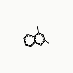 Cc1cc(C)c2[c]cccc2c1